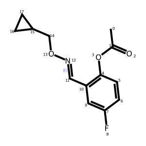 CC(=O)Oc1ccc(F)cc1/C=N/OCC1CC1